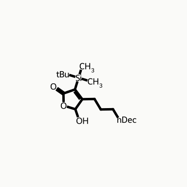 CCCCCCCCCCCCCC1=C([Si](C)(C)C(C)(C)C)C(=O)OC1O